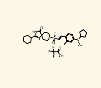 CC(=O)N(c1ccc(/C=C/S(=O)(=O)N2CCC3(CC2)N=C(C2CCCCC2)NC3=O)c(C)c1)C1CCCC1.O=C(O)C(F)(F)F